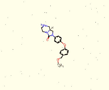 COCc1ccc(Oc2ccc(N3C[C@@H]4CNCCN4C3=O)cc2)cc1